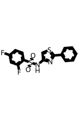 O=S(=O)(Nc1csc(-c2ccccc2)n1)c1ccc(F)cc1F